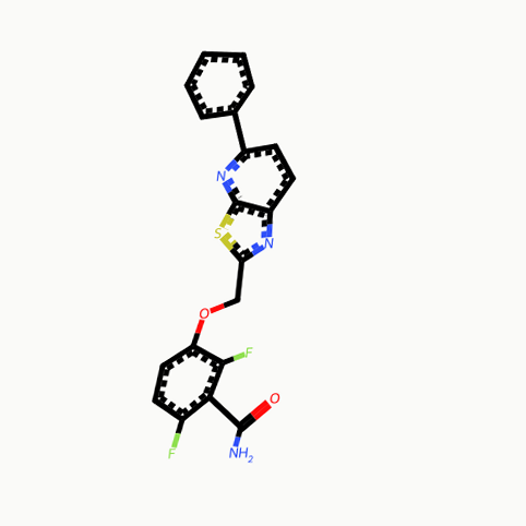 NC(=O)c1c(F)ccc(OCc2nc3ccc(-c4ccccc4)nc3s2)c1F